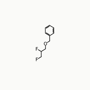 FCC(F)COCc1ccccc1